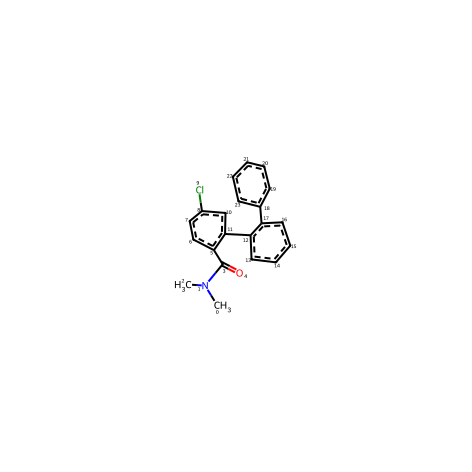 CN(C)C(=O)c1ccc(Cl)cc1-c1ccccc1-c1ccccc1